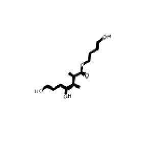 CC(=C(O)CCCO)C(C)C(=O)OCCCCO